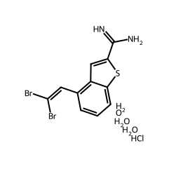 Cl.N=C(N)c1cc2c(C=C(Br)Br)cccc2s1.O.O.O